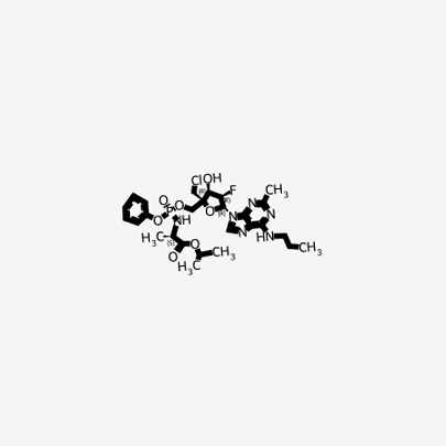 CCCNc1nc(C)nc2c1ncn2[C@@H]1O[C@](CCl)(COP(=O)(N[C@@H](C)C(=O)OC(C)C)Oc2ccccc2)[C@@H](O)[C@H]1F